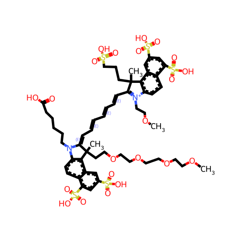 COCCOCCOCCOCCC1(C)\C(=C/C=C/C=C/C=C/C2=[N+](CCOC)c3ccc4c(S(=O)(=O)O)cc(S(=O)(=O)O)cc4c3C2(C)CCCS(=O)(=O)O)N(CCCCCC(=O)O)c2ccc3c(S(=O)(=O)O)cc(S(=O)(=O)O)cc3c21